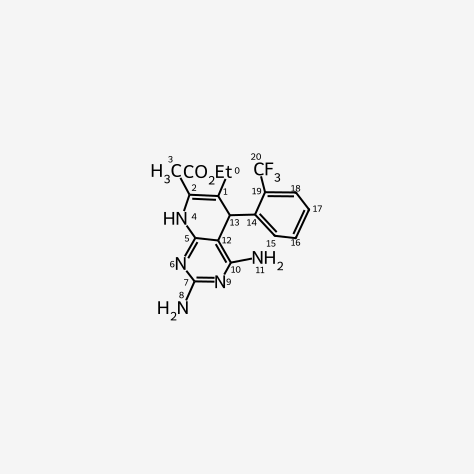 CCOC(=O)C1=C(C)Nc2nc(N)nc(N)c2C1c1ccccc1C(F)(F)F